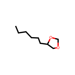 CCCCCCC1COCO1